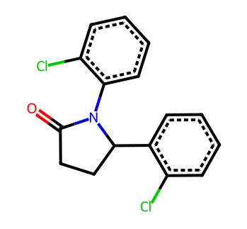 O=C1CCC(c2ccccc2Cl)N1c1ccccc1Cl